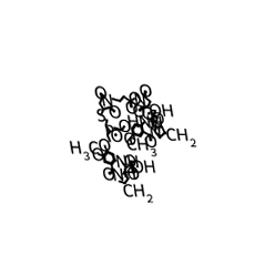 C=C1C[C@H]2C(S(=O)(=O)O)Nc3cc(OCCP(=O)(CCOc4cc5c(cc4OC)C(=O)N4CC(=C)C[C@H]4[C@H](S(=O)(=O)O)N5)CCSC4CC(=O)N(CCCC(=O)ON5C(=O)CCC5=O)C4=O)c(OC)cc3C(=O)N2C1